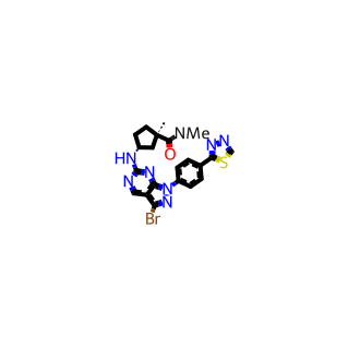 CNC(=O)[C@]1(C)CC[C@@H](Nc2ncc3c(Br)nn(-c4ccc(-c5nncs5)cc4)c3n2)C1